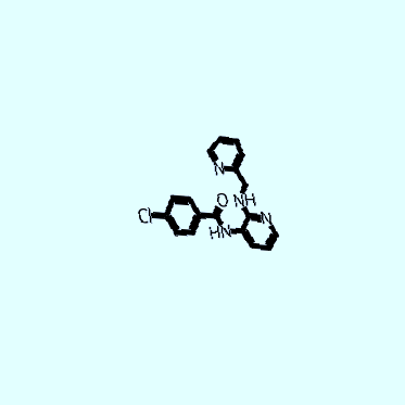 O=C(Nc1cccnc1NCc1ccccn1)c1ccc(Cl)cc1